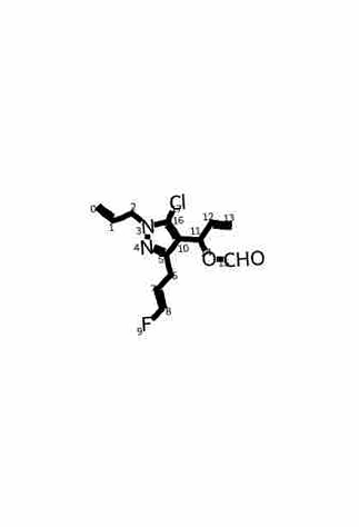 C=CCn1nc(CC=CF)c(C(C=C)OC=O)c1Cl